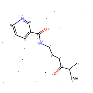 CSC(C)C(=O)CCCNC(=O)c1cccnc1